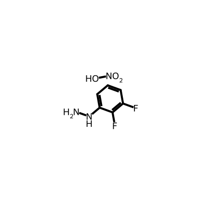 NNc1cccc(F)c1F.O=[N+]([O-])O